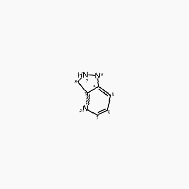 c1cnc2c(c1)[N]NC2